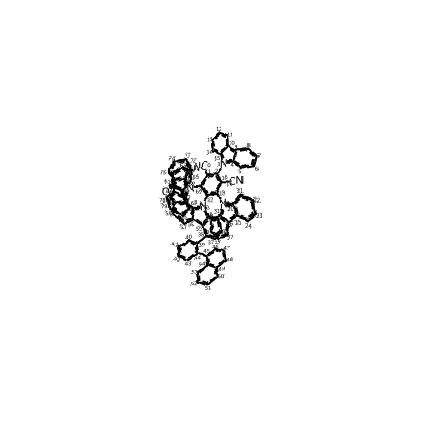 N#Cc1c(-n2c3ccccc3c3ccccc32)c(C#N)c(-n2c3ccccc3c3ccccc32)c(-n2c3cccc(-c4ccccc4-c4cccc5ccccc45)c3c3ccc4oc5ccccc5c4c32)c1-n1c2ccccc2c2ccccc21